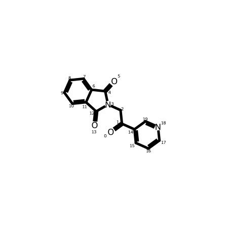 O=C(CN1C(=O)c2ccccc2C1=O)c1cccnc1